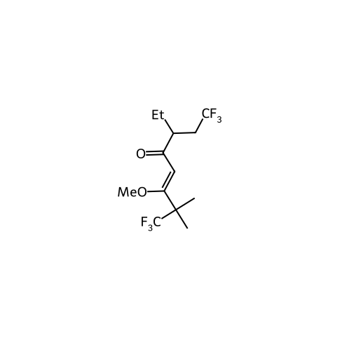 CCC(CC(F)(F)F)C(=O)/C=C(\OC)C(C)(C)C(F)(F)F